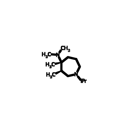 CC(C)N1CCC[C@@](C)(N(C)C)[C@H](C)C1